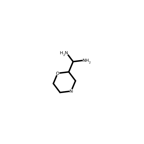 NC(N)C1C[N]CCO1